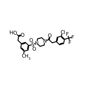 Cc1cc(CC(=O)O)cc(S(=O)(=O)N2CCN(C(=O)Cc3ccc(C(F)(F)F)c(Cl)c3)CC2)c1